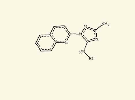 CCNc1nc(N)nn1-c1ccc2ccccc2n1